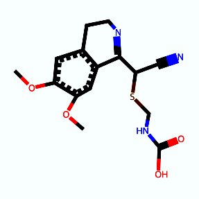 COc1cc2c(cc1OC)C(C(C#N)SCNC(=O)O)=NCC2